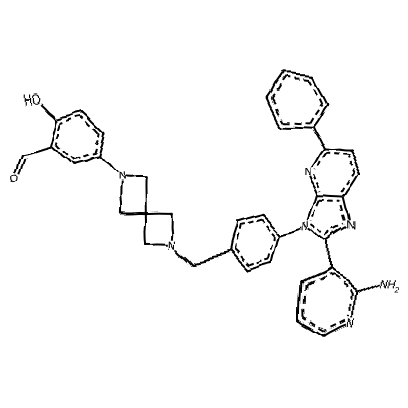 Nc1ncccc1-c1nc2ccc(-c3ccccc3)nc2n1-c1ccc(CN2CC3(C2)CN(c2ccc(O)c(C=O)c2)C3)cc1